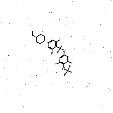 CC[C@H]1CC[C@H](c2cc(F)c(C(F)(F)Oc3cc(F)c(OC(F)(F)F)c(F)c3)c(F)c2)CC1